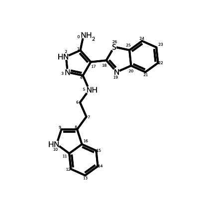 Nc1[nH]nc(NCCc2c[nH]c3ccccc23)c1-c1nc2ccccc2s1